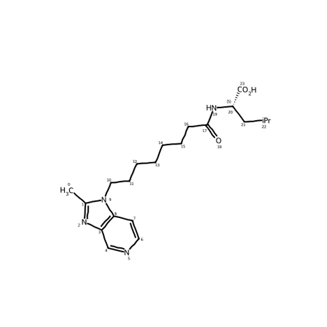 Cc1nc2cnccc2n1CCCCCCCC(=O)N[C@@H](CC(C)C)C(=O)O